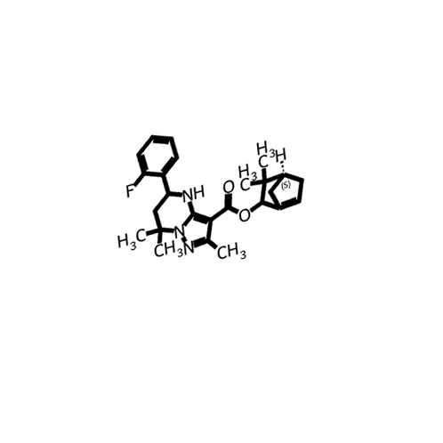 Cc1nn2c(c1C(=O)OC1C3=CC[C@@H](C3)C1(C)C)NC(c1ccccc1F)CC2(C)C